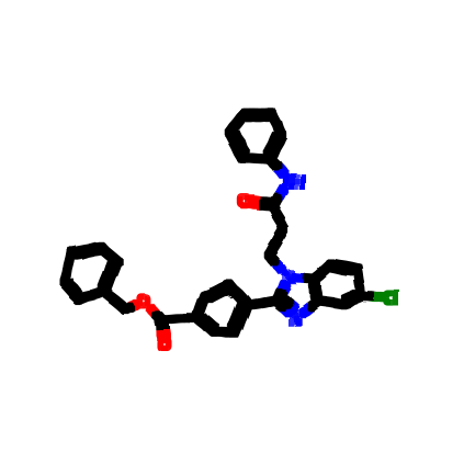 O=C(CCn1c(-c2ccc(C(=O)OCc3ccccc3)cc2)nc2cc(Cl)ccc21)Nc1ccccc1